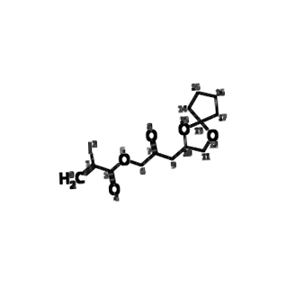 C=C(I)C(=O)OCC(=O)CC1COC2(CCCC2)O1